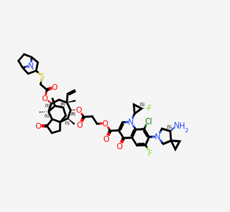 C=C[C@@]1(C)C[C@H](OC(=O)CSC2CC3CCC(C2)N3C)[C@@]2(C)C(C)CCC3(CCC(=O)C32)[C@H](C)[C@H]1OC(=O)CCOC(=O)c1cn(C2C[C@@H]2F)c2c(Cl)c(N3C[C@@H](N)C4(CC4)C3)c(F)cc2c1=O